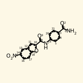 NC(=O)c1ccc(NC(=O)c2cc3cc([N+](=O)[O-])ccc3o2)cc1